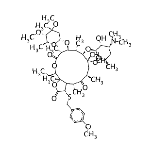 CC[C@H]1OC(=O)[C@H](C)[C@@H](O[C@H]2C[C@@](C)(OC)[C@@H](OC)[C@H](C)O2)[C@H](C)[C@@H](O[C@@H]2O[C@H](C)C[C@H](N(C)C)[C@H]2O)[C@](C)(OC)C[C@@H](C)C(=O)[C@H](C)C2C(SCc3ccc(OC)cc3)C(=O)O[C@@]21C